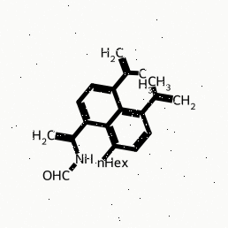 C=C(NC=O)c1ccc(C(=C)C)c2c(C(=C)C)ccc(CCCCCC)c12